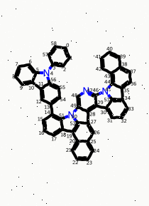 c1ccc(-n2c3ccccc3c3cc(-c4cccc5c6c7ccccc7cc7c8c9c%10cccc%11c%12ccc%13ccccc%13c%12n(c9ncc8n(c45)c76)c%11%10)ccc32)cc1